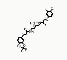 O=C(COc1ccc(F)c(OC(F)(F)F)c1)NCC[C@H](O)CNC(=O)COc1ccc(Cl)c(F)c1